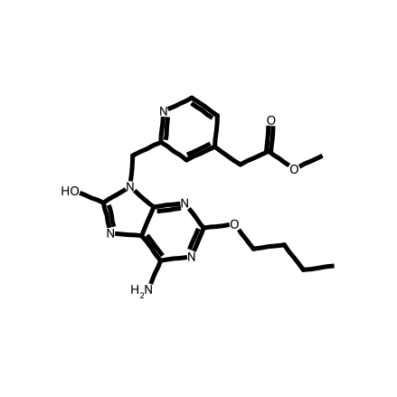 CCCCOc1nc(N)c2nc(O)n(Cc3cc(CC(=O)OC)ccn3)c2n1